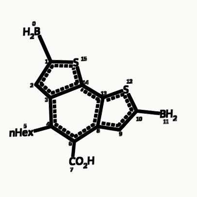 Bc1cc2c(CCCCCC)c(C(=O)O)c3cc(B)sc3c2s1